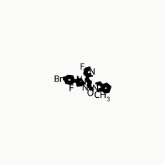 C[C@@H]1c2ccccc2CCN1C(=O)c1cc(-c2cncc(F)c2)n2nc(-c3ccc(Br)cc3F)cc2n1